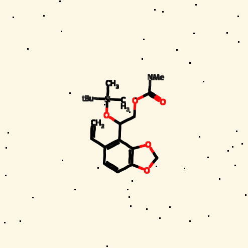 C=Cc1ccc2c(c1C(COC(=O)NC)O[Si](C)(C)C(C)(C)C)OCO2